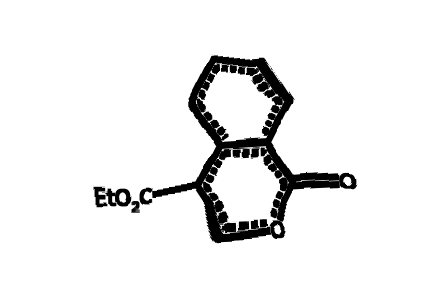 CCOC(=O)c1coc(=O)c2ccccc12